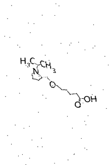 CC(C)N1CCC[C@H]1COCCCCCC(=O)O